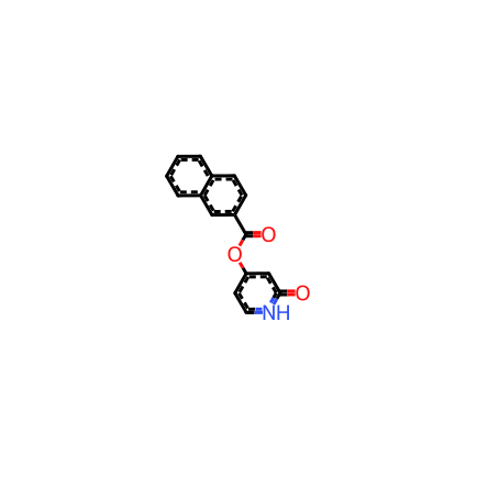 O=C(Oc1cc[nH]c(=O)c1)c1ccc2ccccc2c1